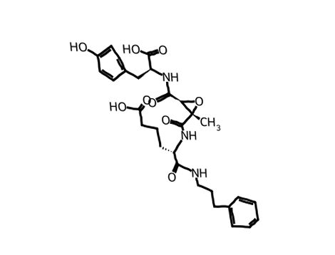 C[C@]1(C(=O)N[C@@H](CCCC(=O)O)C(=O)NCCCc2ccccc2)O[C@@H]1C(=O)N[C@@H](Cc1ccc(O)cc1)C(=O)O